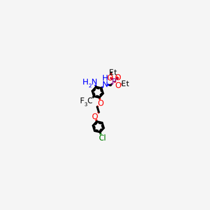 CCOP(=O)(CNc1cc(OCCOc2ccc(Cl)cc2)c(C(F)(F)F)cc1N)OCC